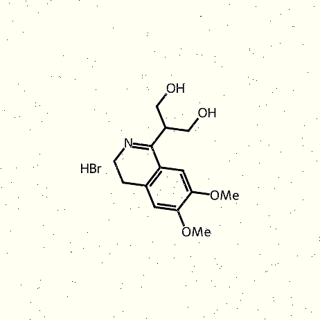 Br.COc1cc2c(cc1OC)C(C(CO)CO)=NCC2